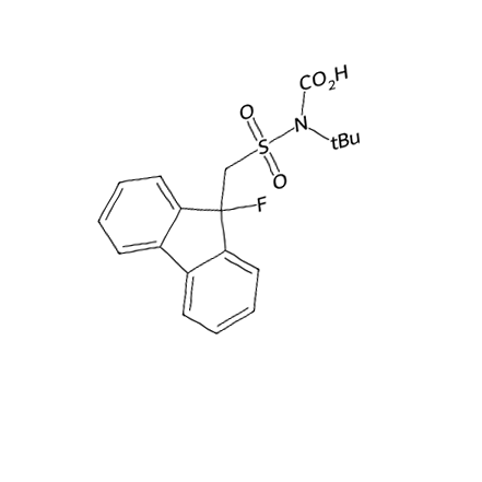 CC(C)(C)N(C(=O)O)S(=O)(=O)CC1(F)c2ccccc2-c2ccccc21